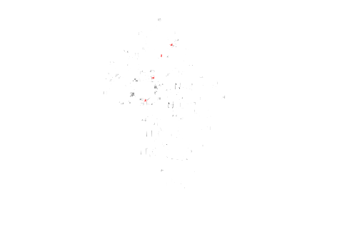 CC1(C)c2ccccc2-c2ccc(C3(C)C=CC=CC3N(c3ccccc3-c3cccc4cccc(-c5ccccc5)c34)c3cccc4c3sc3ccccc34)cc21